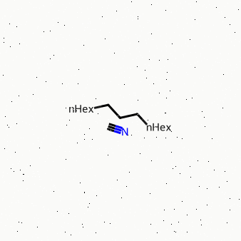 C#N.CCCCCCCCCCCCCCC